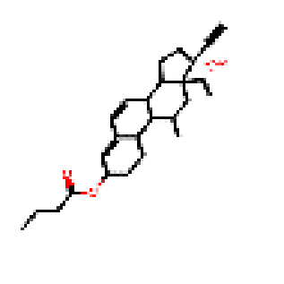 C#C[C@]1(O)CCC2C3C=CC4=CC(OC(=O)CCC)CCC4C3C(C)CC21CC